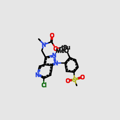 COc1ccc(S(C)(=O)=O)cc1-n1nc(CN(C)C(=O)OC(C)(C)C)c2cnc(Cl)cc21